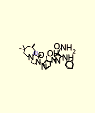 C=C1/C=C2/C(=O)N(c3nccc(-n4cc(C(N)=O)c(Nc5ccccc5)n4)c3CO)CCN2CCC(C)(C)C1